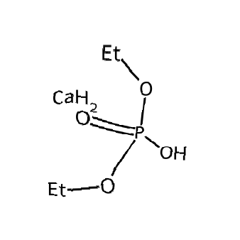 CCOP(=O)(O)OCC.[CaH2]